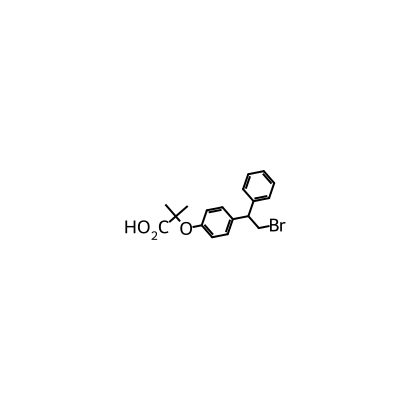 CC(C)(Oc1ccc(C(CBr)c2ccccc2)cc1)C(=O)O